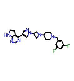 Fc1cc(F)cc(CN2CCC(N3C[C](n4cc(-c5ncnc6[nH]ccc56)cn4)C3)CC2)c1